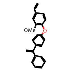 C=Cc1ccc(Oc2ccc(C(=C)c3ccccc3)cc2)c(OC)c1